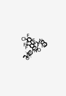 C=CC(=O)N1[C@H](C)CN(c2nc(=O)n3c4c(c(-c5cc(Cl)c(F)cc5F)c(C(F)(F)F)cc24)SCC(n2ncc4cccnc42)C3)C[C@@H]1C